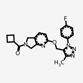 Cc1nnn(-c2ccc(F)cc2)c1COc1ccc2c(n1)CN(C(=O)C1CCC1)C2